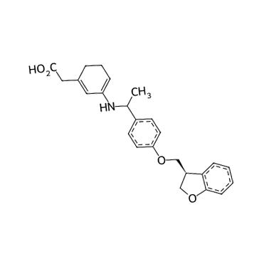 CC(NC1=CCCC(CC(=O)O)=C1)c1ccc(OC[C@@H]2COc3ccccc32)cc1